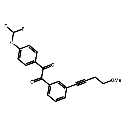 COCCC#Cc1cccc(C(=O)C(=O)c2ccc(OC(F)F)cc2)c1